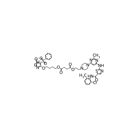 Cc1nc(Nc2ncc(C(=O)Nc3c(C)cccc3Cl)s2)cc(N2CCN(CCOC(=O)CCC(=O)OCCCCOc3no[n+]([O-])c3S(=O)(=O)c3ccccc3)CC2)n1